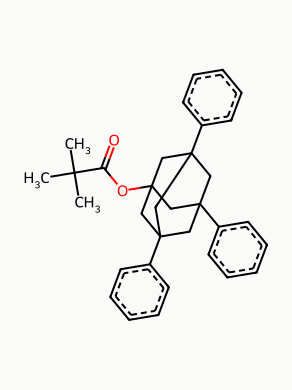 CC(C)(C)C(=O)OC12CC3(c4ccccc4)CC(c4ccccc4)(C1)CC(c1ccccc1)(C2)C3